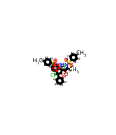 Cc1ccc(S(=O)(=O)N[C@@H](C)C(=O)C(Cl)(C(=O)C(Cl)(C(=O)[C@H](C)NS(=O)(=O)c2ccc(C)cc2)c2ccccc2)c2ccccc2)cc1